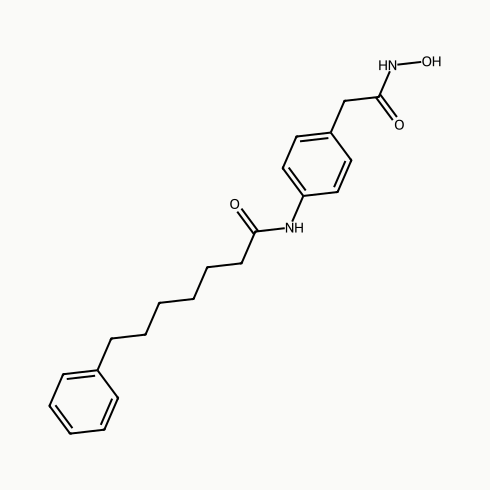 O=C(Cc1ccc(NC(=O)CCCCCCc2ccccc2)cc1)NO